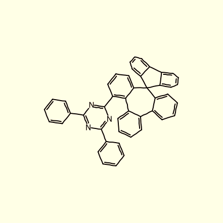 c1ccc(-c2nc(-c3ccccc3)nc(-c3cccc4c3-c3ccccc3-c3ccccc3C43c4ccccc4-c4ccccc43)n2)cc1